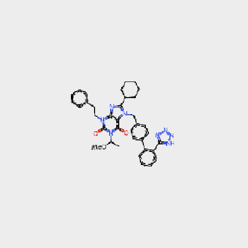 COC(C)n1c(=O)c2c(nc(C3CCCCC3)n2Cc2ccc(-c3ccccc3-c3nnn[nH]3)cc2)n(CCc2ccccc2)c1=O